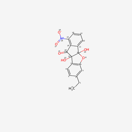 CCc1ccc2c(c1)OC1(O)c3cccc([N+](=O)[O-])c3C(=O)C21O